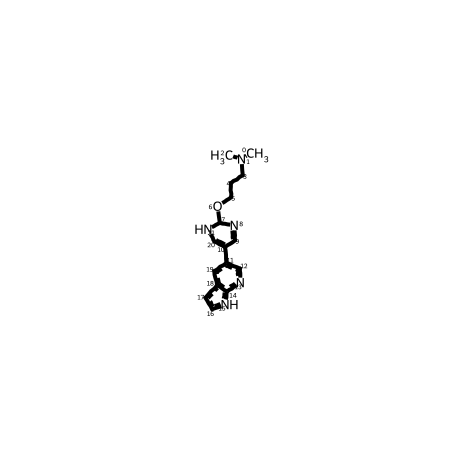 CN(C)CCCOC1N=CC(c2cnc3[nH]ccc3c2)=CN1